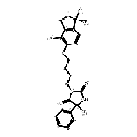 CCCc1c(OCCCCN2C(=O)NC(c3ccccc3)(C(F)(F)F)C2=O)ccc2c1COC2(C(F)(F)F)C(F)(F)F